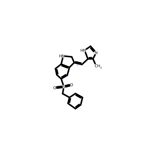 Cc1nc[nH]c1/C=C1\CNc2ccc(S(=O)(=O)Cc3ccccc3)cc21